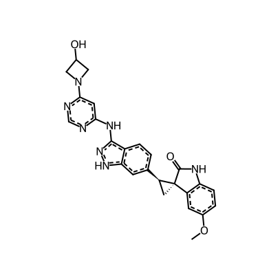 COc1ccc2c(c1)[C@]1(C[C@H]1c1ccc3c(Nc4cc(N5CC(O)C5)ncn4)n[nH]c3c1)C(=O)N2